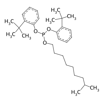 CC(C)CCCCCCCOP(Oc1ccccc1C(C)(C)C)Oc1ccccc1C(C)(C)C